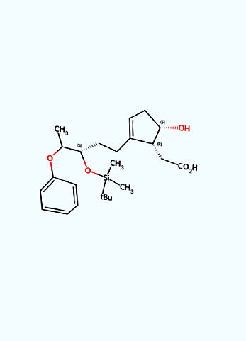 CC(Oc1ccccc1)[C@H](CCC1=CC[C@H](O)[C@@H]1CC(=O)O)O[Si](C)(C)C(C)(C)C